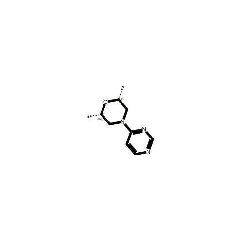 C[C@@H]1CN(c2ccncn2)C[C@H](C)O1